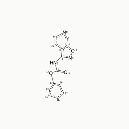 O=C(Nc1noc2cnccc12)Oc1ccccc1